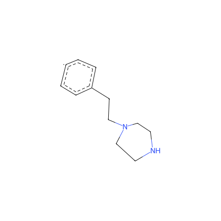 [c]1ccc(CCN2CCNCC2)cc1